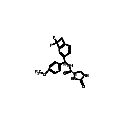 O=C1NC[C@@H](C(=O)N[C@@H](c2ccc(OC(F)(F)F)cc2)c2ccc3c(c2)C(F)(F)C3)N1